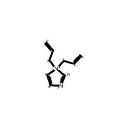 C=CC[N+]1(CC=C)C=CN=C1